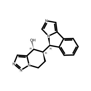 O[C@H]1c2cnnn2CC[C@@H]1[C@@H]1c2ccccc2-c2cncn21